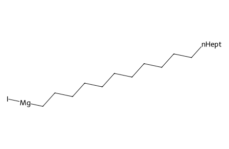 CCCCCCCCCCCCCCCCC[CH2][Mg][I]